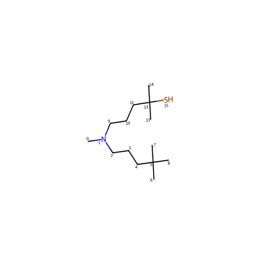 CN(CCCC(C)(C)C)CCCC(C)(C)S